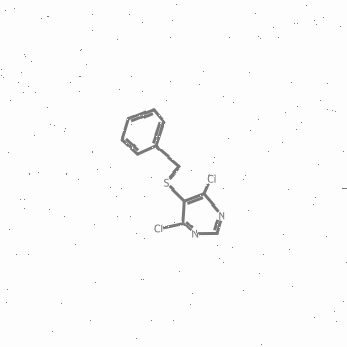 Clc1ncnc(Cl)c1SCc1ccccc1